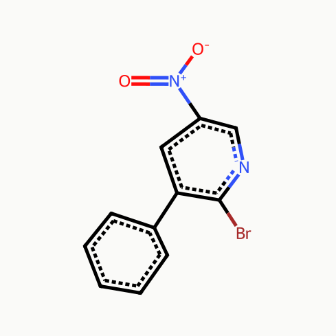 O=[N+]([O-])c1cnc(Br)c(-c2ccccc2)c1